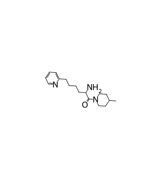 CC1CCN(C(=O)C(N)CCCCc2ccccn2)CC1